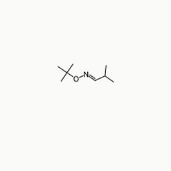 CC(C)C=NOC(C)(C)C